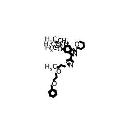 CC(CCn1cc(-c2nn(C3CCCCO3)c3ccc(O[Si](C)(C)C(C)(C)C)cc23)cn1)OCCCOCc1ccccc1